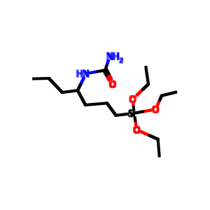 CCCC(CCC[Si](OCC)(OCC)OCC)NC(N)=O